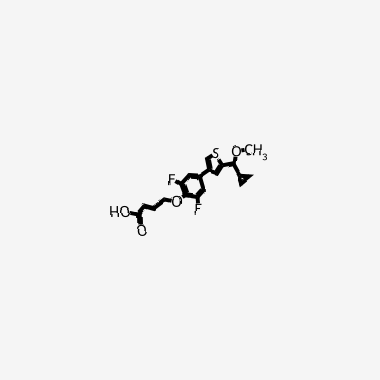 COC(c1cc(-c2cc(F)c(OCCCC(=O)O)c(F)c2)cs1)C1CC1